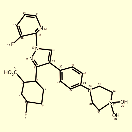 O=C(O)C1CC(F)CCC1c1nn(-c2ncccc2F)cc1-c1ccc(N2CCS(O)(O)CC2)cc1